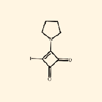 O=c1c(I)c(N2CCCC2)c1=O